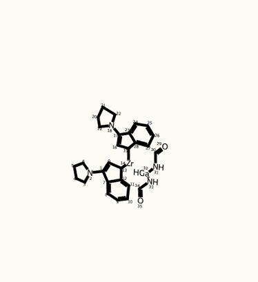 C1=C(N2CCCC2)c2ccccc2[CH]1[Zr][CH]1C=C(N2CCCC2)c2ccccc21.O=C[NH][GaH][NH]C=O